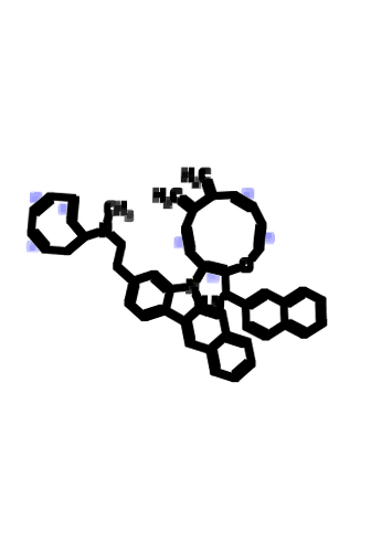 C=C1/C=C\C=C/O/C(C(N)c2ccc3ccccc3c2)=C(n2c3cc(CCN(C)C4/C=C/C=C\C=C/C4)ccc3c3cc4ccccc4cc32)\C=C/C1=C